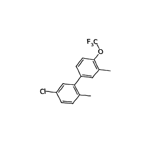 Cc1cc(-c2cc(Cl)ccc2C)ccc1OC(F)(F)F